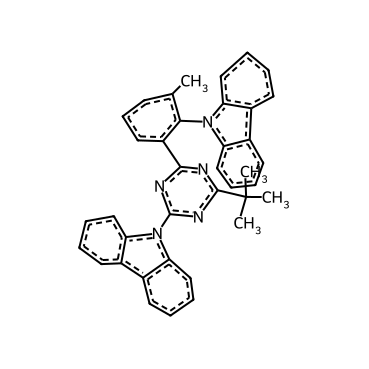 Cc1cccc(-c2nc(-n3c4ccccc4c4ccccc43)nc(C(C)(C)C)n2)c1-n1c2ccccc2c2ccccc21